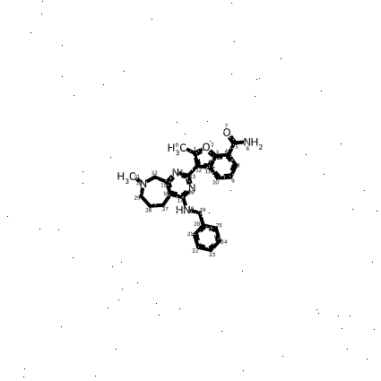 Cc1oc2c(C(N)=O)cccc2c1-c1nc2c(c(NCc3ccccc3)n1)CCCN(C)C2